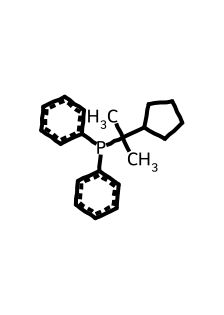 CC(C)(C1CCCC1)P(c1ccccc1)c1ccccc1